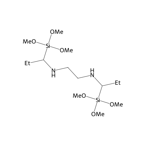 CCC(NCCNC(CC)[Si](OC)(OC)OC)[Si](OC)(OC)OC